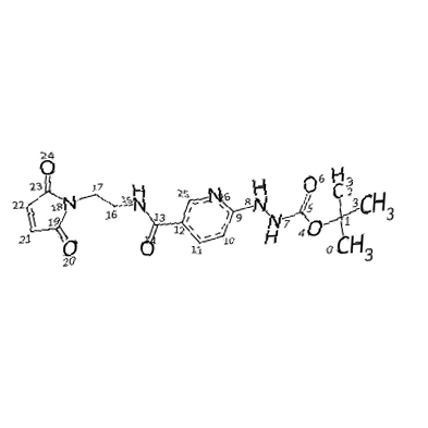 CC(C)(C)OC(=O)NNc1ccc(C(=O)NCCN2C(=O)C=CC2=O)cn1